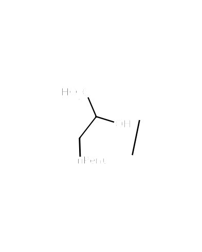 CC.CCCCCCC(O)C(=O)O